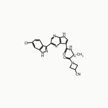 C[C@@H](NC(=O)c1c[nH]c2ncc(-c3n[nH]c4cc(Cl)ccc34)nc12)C(=O)N1CC(C#N)C1